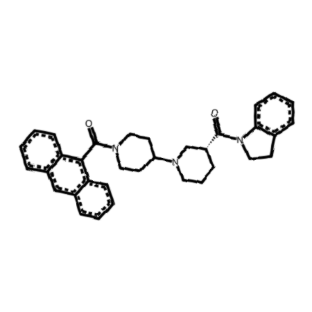 O=C(c1c2ccccc2cc2ccccc12)N1CCC(N2CCC[C@@H](C(=O)N3CCc4ccccc43)C2)CC1